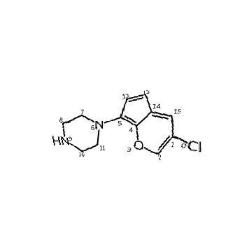 Clc1coc2c(N3CCNCC3)ccc-2c1